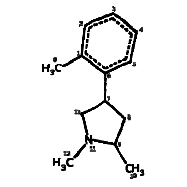 Cc1ccccc1C1CC(C)N(C)C1